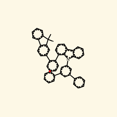 CC1(C)c2ccccc2-c2ccc(-c3ccccc3-c3cccc4c5ccccc5n(-c5cc(-c6ccccc6)cc(-c6ccccc6)c5)c34)cc21